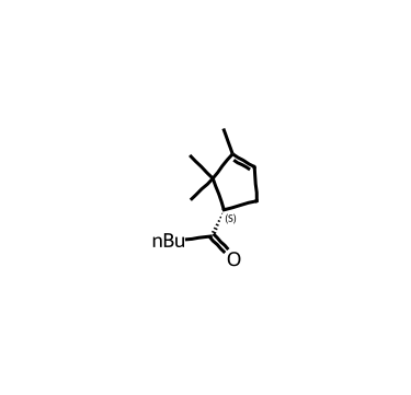 C[CH]CCC(=O)[C@H]1CC=C(C)C1(C)C